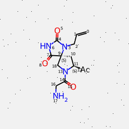 C=CCN1C(=O)NC(=O)[C@@]12C[C@@H](C(C)=O)N(C(=O)CN)C2